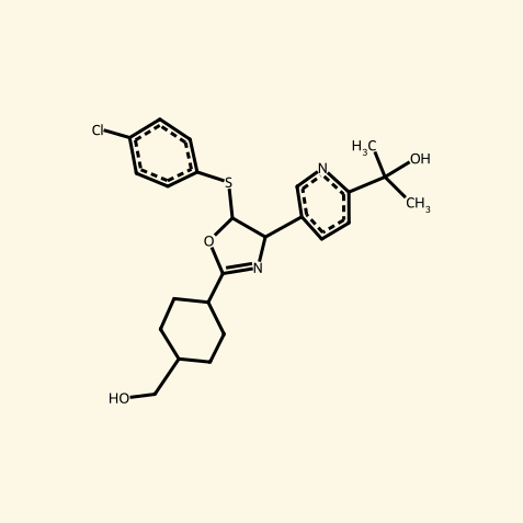 CC(C)(O)c1ccc(C2N=C(C3CCC(CO)CC3)OC2Sc2ccc(Cl)cc2)cn1